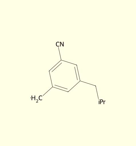 [CH2]c1cc(C#N)cc(CC(C)C)c1